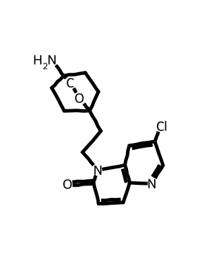 NC12CCC(CCn3c(=O)ccc4ncc(Cl)cc43)(CC1)OC2